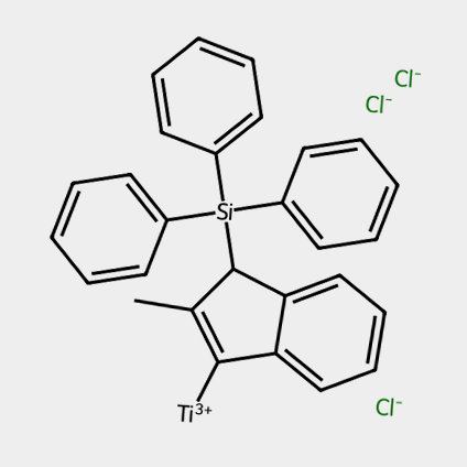 CC1=[C]([Ti+3])c2ccccc2C1[Si](c1ccccc1)(c1ccccc1)c1ccccc1.[Cl-].[Cl-].[Cl-]